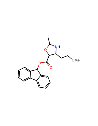 COCCC1NC(C)OC1C(=O)OC1c2ccccc2-c2ccccc21